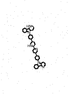 C1=Cc2c(c3ccccc3n2-c2ccc(C3=CNC(c4ccc(-c5ccc(-n6c7ccccc7c7ncccc76)cc5)cn4)C=C3)cc2)NC1